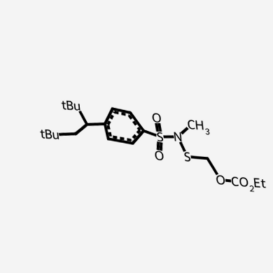 CCOC(=O)OCSN(C)S(=O)(=O)c1ccc(C(CC(C)(C)C)C(C)(C)C)cc1